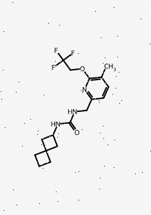 Cc1ccc(CNC(=O)NC2CC3(CCC3)C2)nc1OCC(F)(F)F